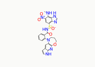 CNc1c([N+](=O)[O-])cc([S+]([O-])NC(=O)c2ccccc2N2CCCOc3nc4[nH]ccc4cc32)c2nc[nH]c12